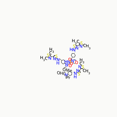 COCCN(C(=O)NS(=O)(=O)[N+]1(C[C@H]2CC[C@H](CNc3nc(-c4nc(C)sc4C)cs3)CC2)CCOCC1)[C@H]1CC[C@H](CNc2nc(-c3nc(C)sc3C)cs2)CC1.Cc1nc(-c2csc(NC[C@H]3CC[C@H](N(C=O)C(C)C)CC3)n2)c(C)s1